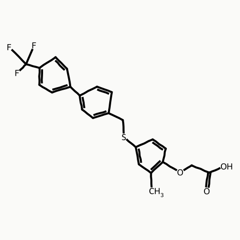 Cc1cc(SCc2ccc(-c3ccc(C(F)(F)F)cc3)cc2)ccc1OCC(=O)O